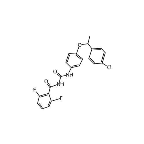 CC(Oc1ccc(NC(=O)NC(=O)c2c(F)cccc2F)cc1)c1ccc(Cl)cc1